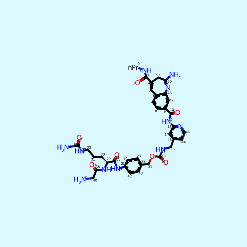 CCCNC(=O)C1=Cc2ccc(C(=O)Nc3cc(CNC(=O)OCc4ccc(NC(=O)[C@H](CCCNC(N)=O)NC(=O)CN)cc4)ccn3)cc2N=C(N)C1